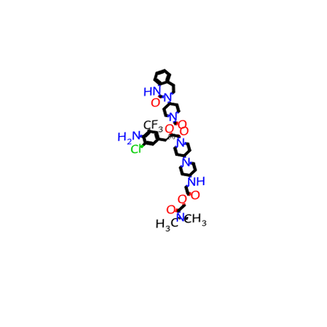 CN(C)C(=O)COC(=O)CNC1CCN(C2CCN(C(=O)[C@@H](Cc3cc(Cl)c(N)c(C(F)(F)F)c3)OC(=O)N3CCC(N4CCc5ccccc5NC4=O)CC3)CC2)CC1